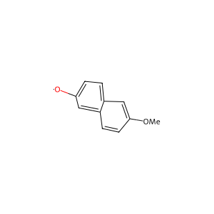 COc1ccc2cc([O])ccc2c1